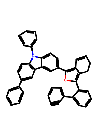 c1cccc(-c2ccccc2-c2oc(-c3ccc4c(c3)c3cc(-c5ccccc5)ccc3n4-c3ccccc3)c3c2CCC=C3)c#1